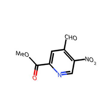 COC(=O)c1cc(C=O)c([N+](=O)[O-])cn1